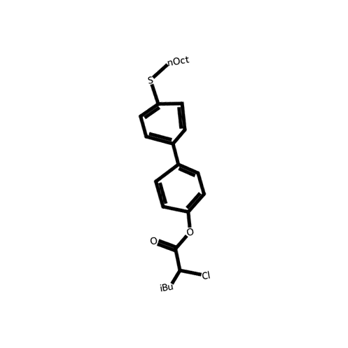 CCCCCCCCSc1ccc(-c2ccc(OC(=O)C(Cl)C(C)CC)cc2)cc1